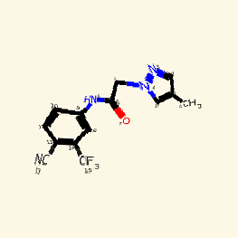 Cc1cnn(CC(=O)Nc2ccc(C#N)c(C(F)(F)F)c2)c1